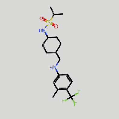 Cc1cc(NCC2CCC(NS(=O)(=O)C(C)C)CC2)ccc1C(F)(F)F